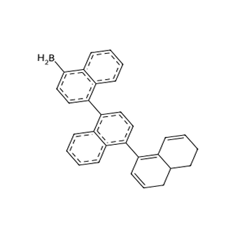 Bc1ccc(-c2ccc(C3=C4C=CCCC4CC=C3)c3ccccc23)c2ccccc12